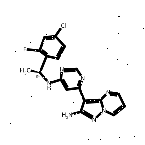 C[C@H](Nc1cc(-c2c(N)nn3cccnc23)ncn1)c1ccc(Cl)cc1F